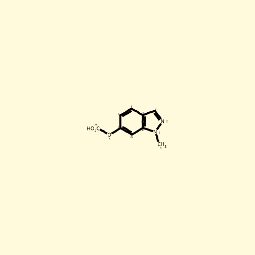 Cn1ncc2ccc(OC(=O)O)cc21